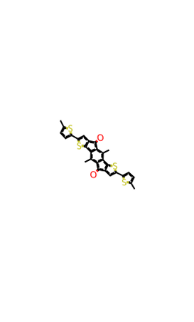 Cc1ccc(-c2cc3c(=O)c4c(C)c5c(c(C)c4c3s2)c(=O)c2cc(-c3ccc(C)s3)sc25)s1